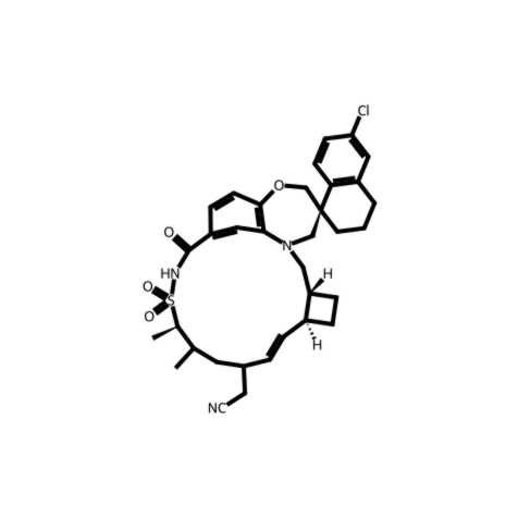 CC1CC(CC#N)/C=C/[C@@H]2CC[C@H]2CN2C[C@@]3(CCCc4cc(Cl)ccc43)COc3ccc(cc32)C(=O)NS(=O)(=O)[C@@H]1C